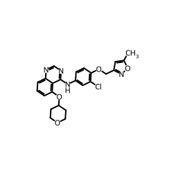 Cc1cc(COc2ccc(Nc3ncnc4cccc(OC5CCOCC5)c34)cc2Cl)no1